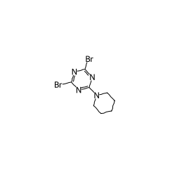 Brc1nc(Br)nc(N2CCCCC2)n1